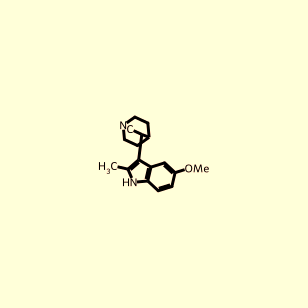 COc1ccc2[nH]c(C)c(C3CN4CCC3CC4)c2c1